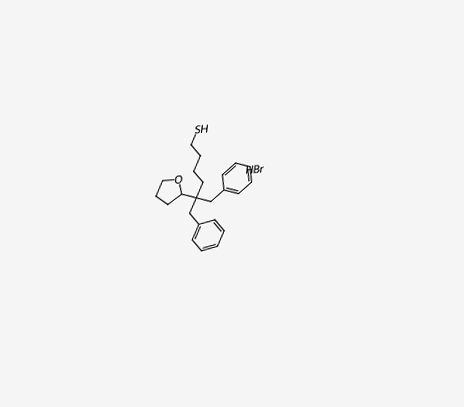 Br.SCCCCC(Cc1ccccc1)(Cc1ccccc1)C1CCCO1